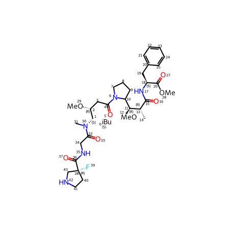 CC[C@H](C)[C@@H]([C@@H](CC(=O)N1CCCC1[C@H](OC)[C@@H](C)C(=O)N[C@@H](Cc1ccccc1)C(=O)OC)OC)N(C)C(=O)CNC(=O)[C@@]1(F)CCNC1